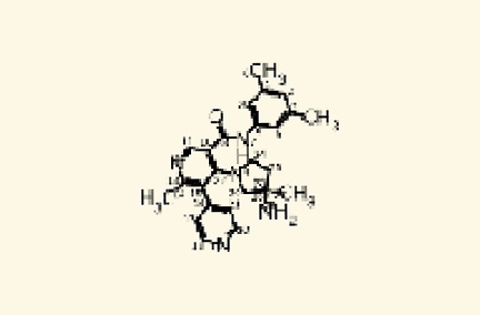 Cc1cc(C)cc(NC(=O)c2cnc(C)c(-c3ccncc3)c2N2CC[C@](C)(N)C2)c1